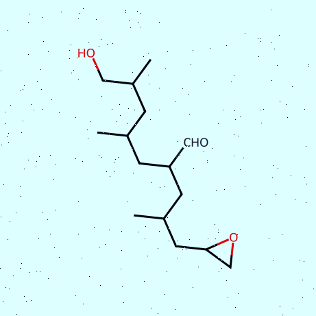 CC(CO)CC(C)CC(C=O)CC(C)CC1CO1